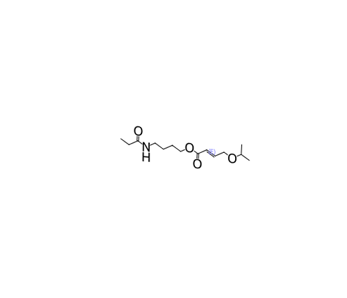 CCC(=O)NCCCCOC(=O)/C=C/COC(C)C